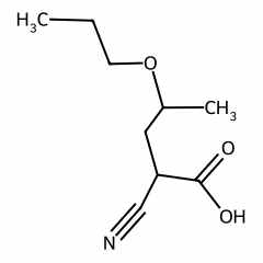 CCCOC(C)CC(C#N)C(=O)O